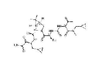 C=C(C)[C@H](NC(=O)N[C@H](C(=O)N1C[C@H]2[C@@H]([C@H]1C(=O)NC(CC1CC1)C(=O)C(N)=O)C2(C)C)C(C)(C)C)C(=O)N(C)CC1CC1